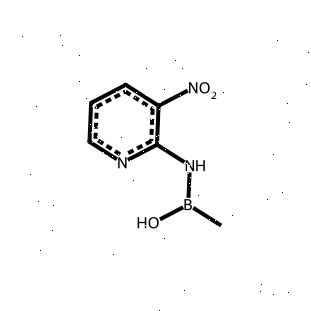 CB(O)Nc1ncccc1[N+](=O)[O-]